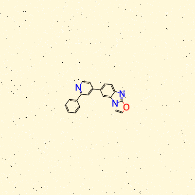 c1ccc(-c2cc(-c3ccc4nc5occn5c4c3)ccn2)cc1